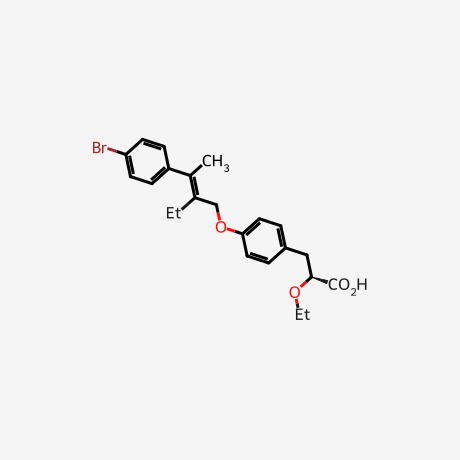 CCO[C@@H](Cc1ccc(OC/C(CC)=C(\C)c2ccc(Br)cc2)cc1)C(=O)O